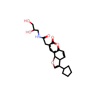 O=C(Cc1cc2c(oc1=O)C=CC1C(C3CCCC3)=COC21)NCC(O)CO